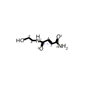 NC(=O)/C=C/C(=O)NCCO